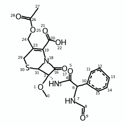 CO[C@]1(NC(=O)C(NC=O)c2ccccc2)C(=O)N2C(C(=O)O)=C(COC(C)=O)CSC21